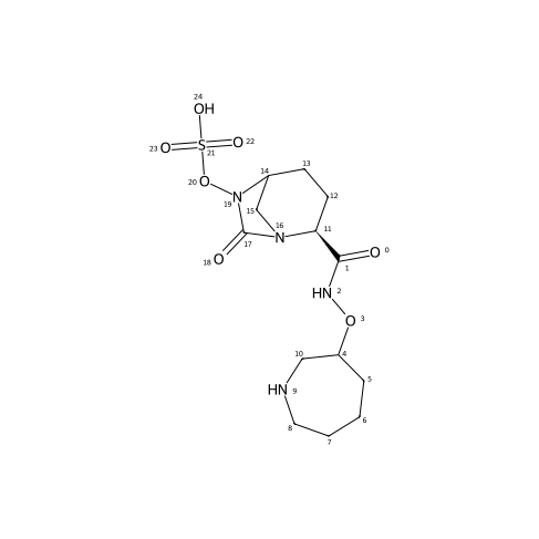 O=C(NOC1CCCCNC1)[C@@H]1CCC2CN1C(=O)N2OS(=O)(=O)O